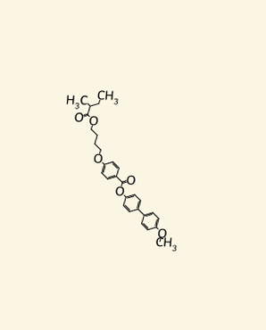 CCC(C)C(=O)OCCCCOc1ccc(C(=O)Oc2ccc(-c3ccc(OC)cc3)cc2)cc1